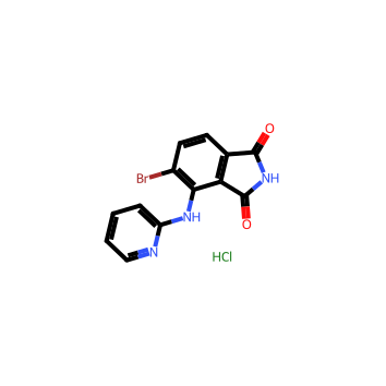 Cl.O=C1NC(=O)c2c1ccc(Br)c2Nc1ccccn1